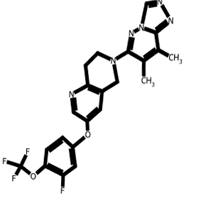 Cc1c(N2CCc3ncc(Oc4ccc(OC(F)(F)F)c(F)c4)cc3C2)nn2cnnc2c1C